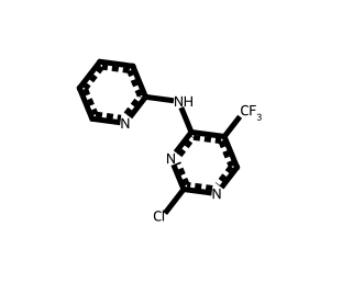 FC(F)(F)c1cnc(Cl)nc1Nc1ccccn1